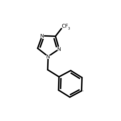 FC(F)(F)c1ncn(Cc2cc[c]cc2)n1